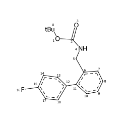 CC(C)(C)OC(=O)NCc1ccccc1-c1ccc(F)cc1